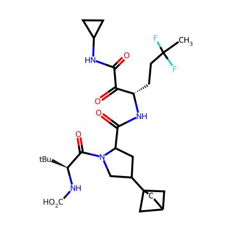 CC(F)(F)CC[C@H](NC(=O)C1CC(C23CC(C2)C3)CN1C(=O)[C@@H](NC(=O)O)C(C)(C)C)C(=O)C(=O)NC1CC1